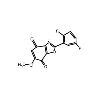 COC1=CC(=O)c2nc(-c3cc(F)ccc3F)oc2C1=O